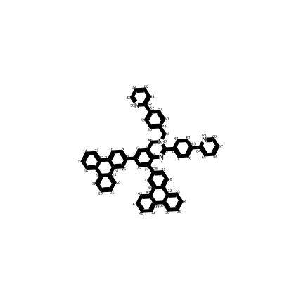 C1=C(C2=Nc3c(cc(-c4ccc5c6ccccc6c6ccccc6c5c4)cc3-c3ccc4c5ccccc5c5ccccc5c4c3)CN2Cc2ccc(-c3ccccn3)cc2)CCC(c2ccccn2)=C1